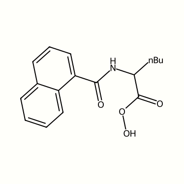 CCCCC(NC(=O)c1cccc2ccccc12)C(=O)OO